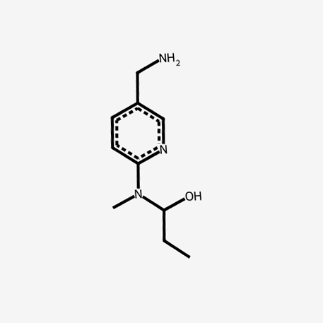 CCC(O)N(C)c1ccc(CN)cn1